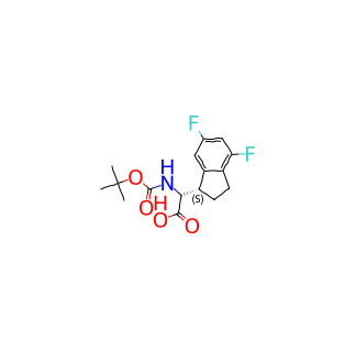 CC(C)(C)OC(=O)NC(C(=O)O)[C@H]1CCc2c(F)cc(F)cc21